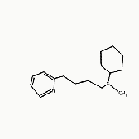 CN(CC[CH]Cc1ccccn1)C1CCCCC1